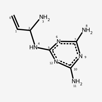 C=CC(N)Nc1nc(N)nc(N)n1